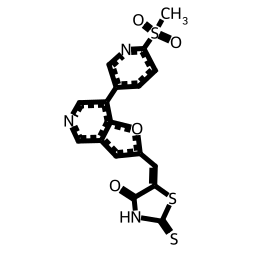 CS(=O)(=O)c1ccc(-c2cncc3cc(C=C4SC(=S)NC4=O)oc23)cn1